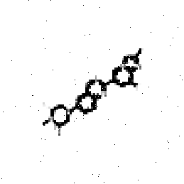 Cc1cn2cc(-c3ncc4cc(N5C[C@@H](C)N(C)[C@@H](C)C5)ccc4n3)cc(F)c2n1